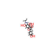 C=C(C)/C=C/c1c(O)cc2oc(-c3ccc(O)cc3)cc(=O)c2c1O